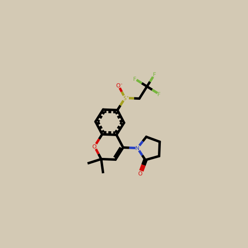 CC1(C)C=C(N2CCCC2=O)c2cc([S+]([O-])CC(F)(F)F)ccc2O1